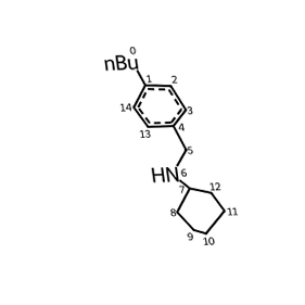 CCCCc1ccc(CNC2CCCCC2)cc1